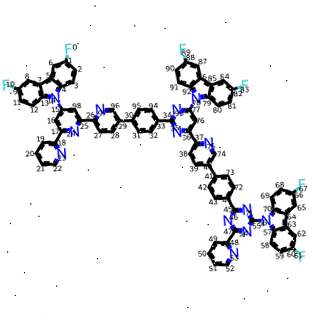 Fc1ccc2c(c1)c1cc(F)ccc1n2-c1cc(-c2ccccn2)nc(-c2ccc(-c3ccc(-c4nc(-c5ccc(-c6ccc(-c7nc(-c8ccccn8)nc(-n8c9ccc(F)cc9c9cc(F)ccc98)n7)cc6)cn5)cc(-n5c6ccc(F)cc6c6cc(F)ccc65)n4)cc3)cn2)c1